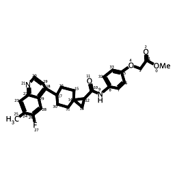 COC(=O)COc1ccc(NC(=O)C2CC23CCC(c2ccnc4cc(C)c(F)cc24)CC3)cc1